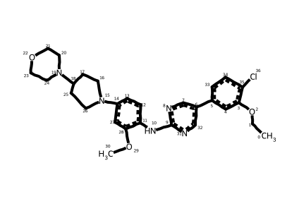 CCOc1cc(-c2cnc(Nc3ccc(N4CCC(N5CCOCC5)CC4)cc3OC)nc2)ccc1Cl